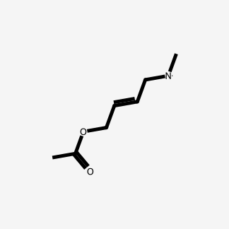 C[N]CC=CCOC(C)=O